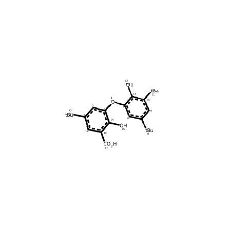 CC(C)(C)c1cc(Oc2cc(C(C)(C)C)cc(C(C)(C)C)c2O)c(O)c(C(=O)O)c1